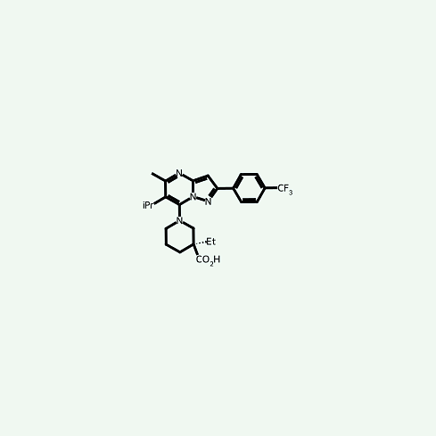 CC[C@]1(C(=O)O)CCCN(c2c(C(C)C)c(C)nc3cc(-c4ccc(C(F)(F)F)cc4)nn23)C1